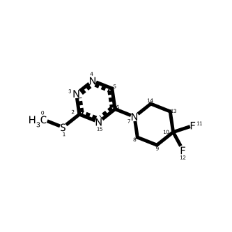 CSc1nncc(N2CCC(F)(F)CC2)n1